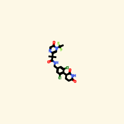 CC(C)(C(=O)NCc1cc(Cl)c(C2CCC(=O)NC2=O)c(Cl)c1)c1cn(C(C)(F)F)c(=O)cn1